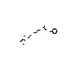 CC(NC(=O)CCC(=O)OCCn1cnc2c(O)ncnc21)C(=O)OCc1ccccc1